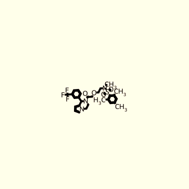 Cc1cc(C)c(S(=O)(=O)N(C)CCOCC(=O)N2CCn3cccc3C2c2cccc(C(F)(F)F)c2)c(C)c1